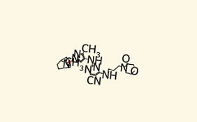 Cc1nn(C2CC3CCC(C2)N3C)cc1Nc1ncc(C#N)c(NCCCN2CCOCC2=O)n1